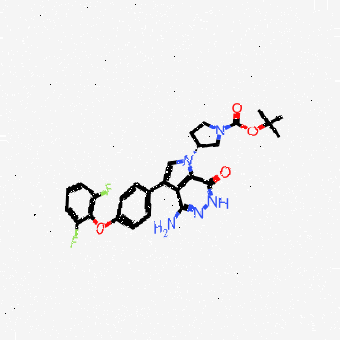 CC(C)(C)OC(=O)N1CC[C@@H](n2cc(-c3ccc(Oc4c(F)cccc4F)cc3)c3c(N)n[nH]c(=O)c32)C1